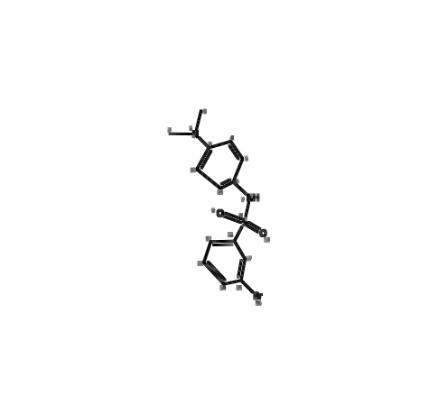 CN(C)c1ccc(NS(=O)(=O)c2cccc(Br)c2)cc1